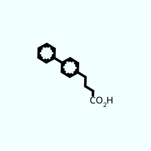 O=C(O)CCCc1ccc(-c2ccccc2)cc1